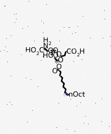 CCCCCCCC/C=C\CCCCCCCC(=O)OC[C@H](COP(=O)(O)OC[C@H](N)C(=O)O)OC(=O)CCC(=O)O